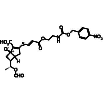 C[C@@H](OC=O)[C@H]1C[N+]2([O-])C(C(=O)O)=C(SC=CC(=O)OCCNC(=O)OCc3ccc([N+](=O)[O-])cc3)C[C@H]12